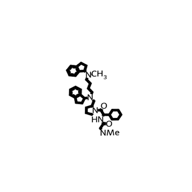 CNCC(=O)NC(C(=O)N1CCCC1CN(CCCCN(C)C1CCc2ccccc21)C1CCc2ccccc21)C1CCCCC1